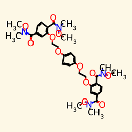 CON(C)C(=O)c1ccc(C(=O)N(C)OC)c(OCCOc2ccc(OCCOc3cc(C(=O)N(C)OC)ccc3C(=O)N(C)OC)cc2)c1